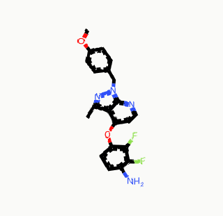 COc1ccc(Cn2nc(C)c3c(Oc4ccc(N)c(F)c4F)ccnc32)cc1